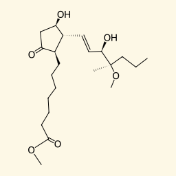 CCC[C@@](C)(OC)[C@H](O)/C=C/[C@H]1[C@H](O)CC(=O)[C@@H]1CCCCCCC(=O)OC